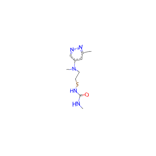 CNC(=O)NSCCN(C)c1cnnc(C)c1